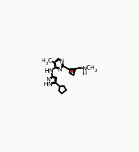 CNCC12CC(C1)N(c1ncc(C)c(Nc3cc(C4CCCC4)[nH]n3)n1)C2